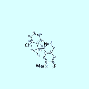 COc1cc2c(cc1F)CCN=C2C1(c2ccccc2Cl)CC1